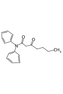 CCCCC(=O)CC(=O)N(c1ccccc1)c1ccccc1